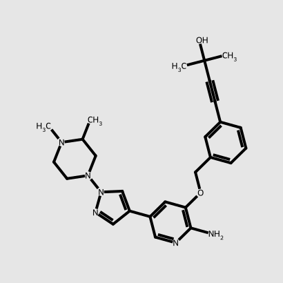 CC1CN(n2cc(-c3cnc(N)c(OCc4cccc(C#CC(C)(C)O)c4)c3)cn2)CCN1C